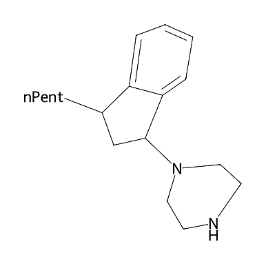 CCCCCC1CC(N2CCNCC2)c2ccccc21